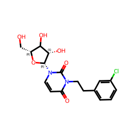 O=c1ccn([C@@H]2O[C@H](CO)C(O)[C@@H]2O)c(=O)n1CCc1cccc(Cl)c1